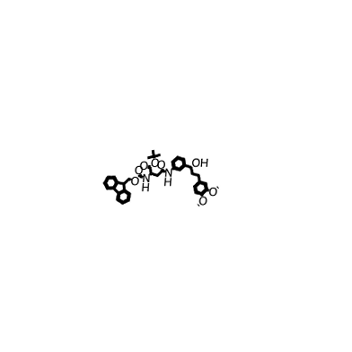 COc1ccc(CCC(O)c2cccc(NC(=O)CC(NC(=O)OCC3c4ccccc4-c4ccccc43)C(=O)OC(C)(C)C)c2)cc1OC